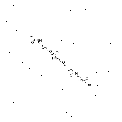 CCC(=O)NCCOCCOCC(=O)NCCOCCOCC(=O)NCCNC(=O)CBr